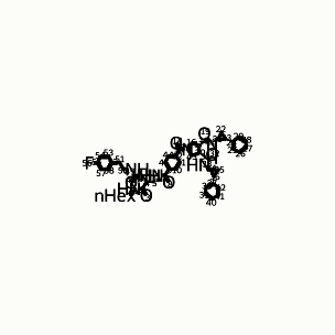 CCCCCCNC(=O)[C@H](CNC(=O)c1ccc(C(=O)N2C[C@@H](C(=O)N[C@H]3C[C@@H]3c3ccccc3)[C@H](C(=O)N[C@H]3C[C@@H]3c3ccccc3)C2)cc1)NC(=O)NCCc1ccc(F)cc1